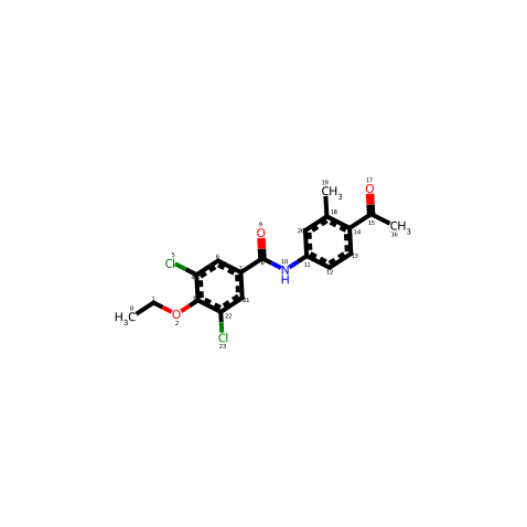 CCOc1c(Cl)cc(C(=O)Nc2ccc(C(C)=O)c(C)c2)cc1Cl